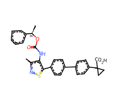 Cc1nsc(-c2ccc(-c3ccc(C4(C(=O)O)CC4)cc3)cc2)c1NC(=O)O[C@H](C)c1ccccc1